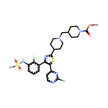 CCCS(=O)(=O)Nc1cccc(-c2nc(C3CCN(CC4CCN(C(=O)OC(C)(C)C)CC4)CC3)sc2-c2ccnc(Cl)n2)c1F